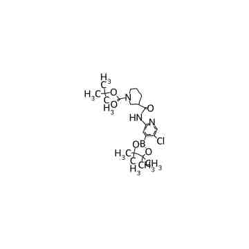 CC(C)(C)OC(=O)N1CCCC(C(=O)Nc2cc(B3OC(C)(C)C(C)(C)O3)c(Cl)cn2)C1